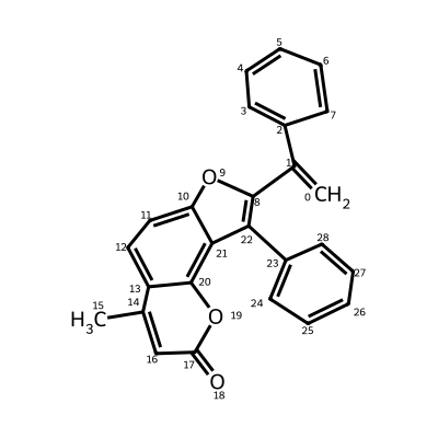 C=C(c1ccccc1)c1oc2ccc3c(C)cc(=O)oc3c2c1-c1ccccc1